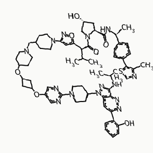 Cc1ncsc1-c1ccc([C@H](C)NC(=O)[C@@H]2C[C@@H](O)CN2C(=O)C(c2cc(N3CCC(CN4CCC(OC5CC(Oc6cnc(N7CCC(n8nc(NC(C)C)c9nnc(-c%10ccccc%10O)cc98)CC7)nc6)C5)CC4)CC3)no2)C(C)C)cc1